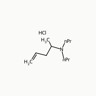 C=CCC(C)N(CCC)CCC.Cl